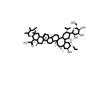 CCC[C@H]1CC2C3C(C[C@H](C(C)C)C(C4O[C@H](CO)[C@@H](O)[C@H](O)[C@H]4O)[C@@H]3O)C3CC[C@@]4(C)C(CC[C@]5(C)C4CC=C4C6CC(C)(C)[C@H](CC(C)C(C)CC)C(C(N)=O)[C@]6(C)[C@H](C)C[C@]45C)[C@@]3(C)[C@@H](C)C[C@@H]2[C@@H](C)[C@@H]1O